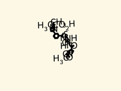 CC(C)(C(=O)O)n1ccc(-c2cccc(-c3csc(NC(=O)CNC(=O)c4ccn(S(C)(=O)=O)c4)n3)c2)n1